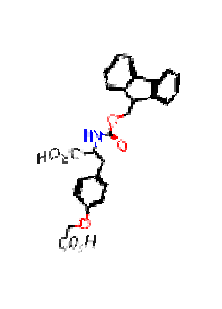 O=C(O)COc1ccc(CC(NC(=O)OCC2c3ccccc3-c3ccccc32)C(=O)O)cc1